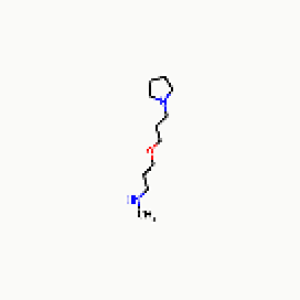 CNCCCOCCCN1CCCC1